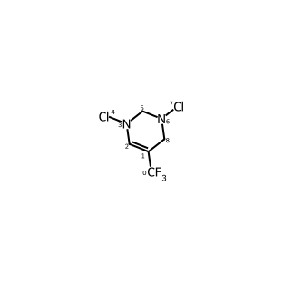 FC(F)(F)C1=CN(Cl)CN(Cl)C1